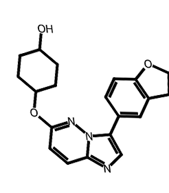 OC1CCC(Oc2ccc3ncc(-c4ccc5c(c4)CCO5)n3n2)CC1